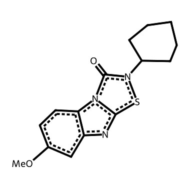 COc1ccc2c(c1)nc1sn(C3CCCCC3)c(=O)n12